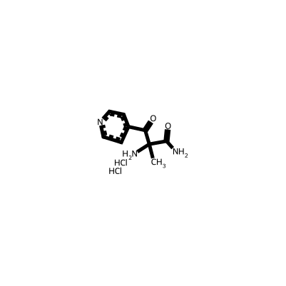 CC(N)(C(N)=O)C(=O)c1ccncc1.Cl.Cl